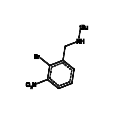 [CH2]C(C)(C)NCc1cccc([N+](=O)[O-])c1Br